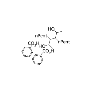 CCCCCC(C(C)O)C(CCCCC)C(C)O.O=C(O)c1ccccc1.O=C(O)c1ccccc1